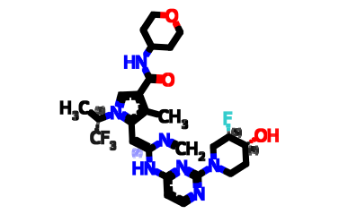 C=N/C(=C\c1c(C)c(C(=O)NC2CCOCC2)cn1[C@@H](C)C(F)(F)F)Nc1ccnc(N2CC[C@@H](O)[C@@H](F)C2)n1